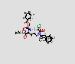 COC(=O)[C@H](CCCN(C(=O)CCl)[C@@H](Cc1ccccc1)C(=O)O)NC(=O)OCc1ccccc1